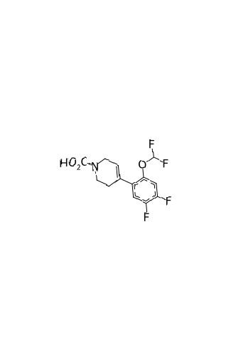 O=C(O)N1CC=C(c2cc(F)c(F)cc2OC(F)F)CC1